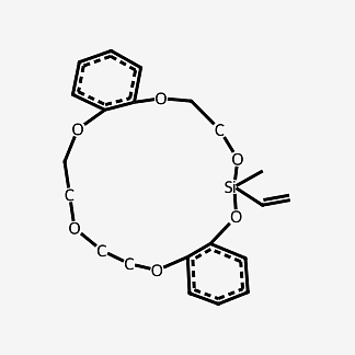 C=C[Si]1(C)OCCOc2ccccc2OCCOCCOc2ccccc2O1